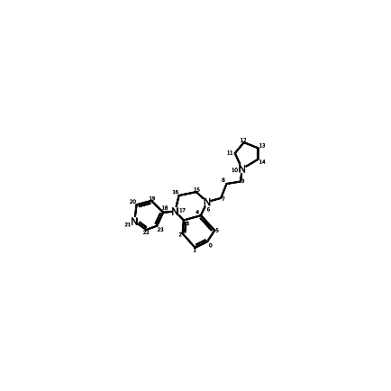 c1ccc2c(c1)N(CCCN1CCCC1)CCN2c1ccncc1